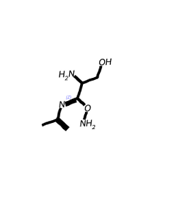 C=C(C)/N=C(\ON)C(N)CO